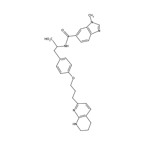 Cn1cnc2ccc(C(=O)NC(Cc3ccc(OCCCc4ccc5c(n4)NCCC5)cc3)C(=O)O)cc21